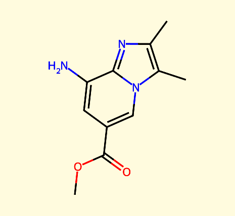 COC(=O)c1cc(N)c2nc(C)c(C)n2c1